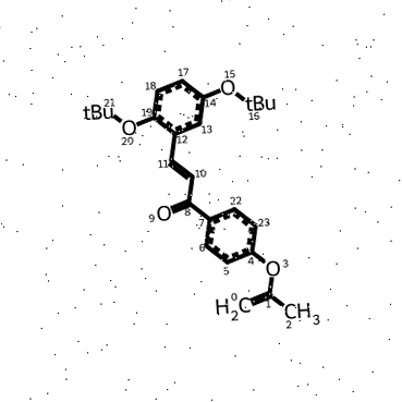 C=C(C)Oc1ccc(C(=O)/C=C/c2cc(OC(C)(C)C)ccc2OC(C)(C)C)cc1